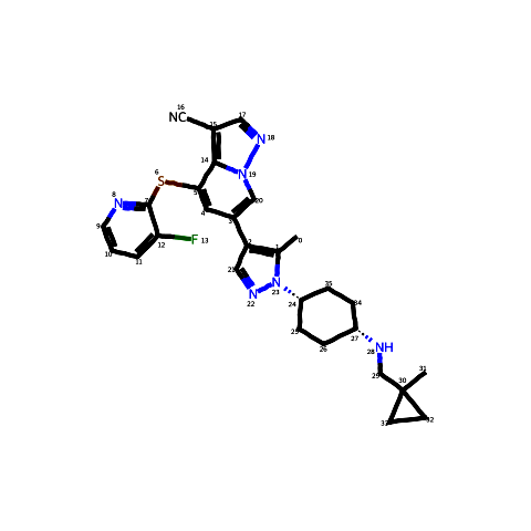 Cc1c(-c2cc(Sc3ncccc3F)c3c(C#N)cnn3c2)cnn1[C@H]1CC[C@@H](NCC2(C)CC2)CC1